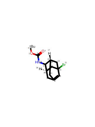 CC(C)(C)OC(=O)NC1[C@@H]2CC3=CC(Br)(C2)C[C@@H]1C3